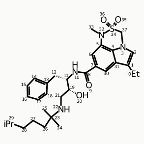 CCc1cn2c3c(cc(C(=O)N[C@@H](Cc4ccccc4)[C@H](O)CNC(C)(C)CCCC(C)C)cc13)N(C)S(=O)(=O)C2